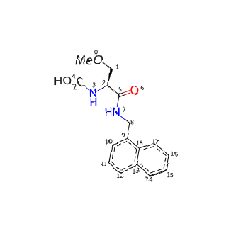 COC[C@H](NC(=O)O)C(=O)NCc1cccc2ccccc12